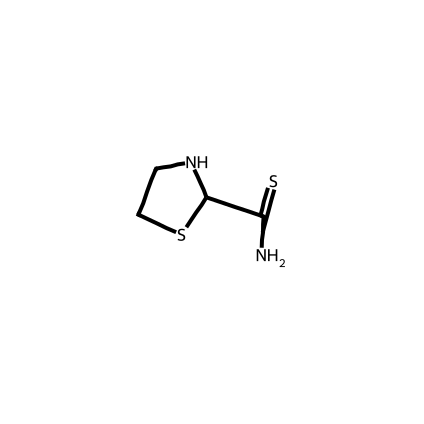 NC(=S)C1NCCS1